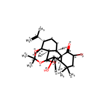 C=C(C)[C@@H]1CC[C@H]2[C@@]34COC5(OC(C)(C)O[C@H]1[C@@]25C(C)=O)[C@@H](O)[C@@H]3C(C)(C)CC(Br)C4=O